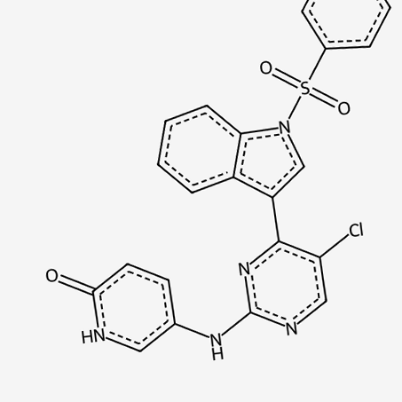 O=c1ccc(Nc2ncc(Cl)c(-c3cn(S(=O)(=O)c4ccccc4)c4ccccc34)n2)c[nH]1